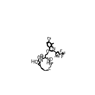 COc1ccc2c(OCCC3NC(=O)N(C)CCCC/C=C\C4CC4(C(=O)O)NC3=O)cc(-c3cc(C(F)(F)F)nn3C)nc2c1C